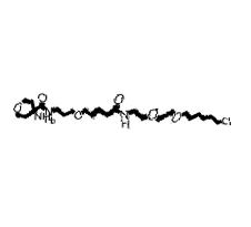 NC1(C(=O)NCCCOCCCCC(=O)NCCOCCOCCCCCCCl)CCOCC1